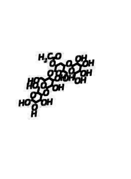 CC(=O)O[C@@H]1C[C@H](OC2OC(CO)C(O)C(O)C2O)C(CO)O[C@@H]1OC1C(CO)OC(O[C@@H]2C(CO)O[C@H](O)[C@@H](O)C2O)C(O)C1O